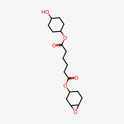 O=C(CCCCC(=O)OC1CCC2OC2C1)OC1CCC(O)CC1